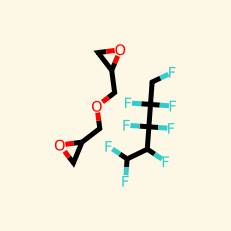 C(OCC1CO1)C1CO1.FCC(F)(F)C(F)(F)C(F)C(F)F